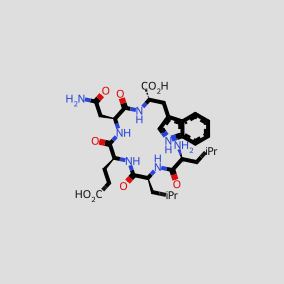 CC(C)C[C@H](NC(=O)[C@@H](N)CC(C)C)C(=O)N[C@@H](CCC(=O)O)C(=O)N[C@@H](CC(N)=O)C(=O)N[C@@H](Cc1c[nH]c2ccccc12)C(=O)O